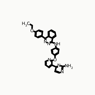 CCOc1ccc(-c2nnc(Nc3ccc(Oc4ncccc4-c4ccnc(N)n4)cc3)c3ccccc23)cc1